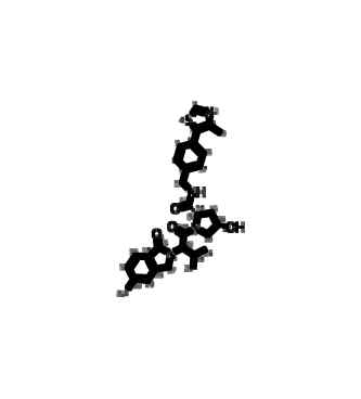 Cc1ncsc1-c1ccc(CNC(=O)[C@@H]2C[C@@H](O)CN2C(=O)C(C(C)C)N2Cc3cc(I)ccc3C2=O)cc1